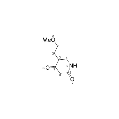 COCCC1CNC(=O)CC1=O